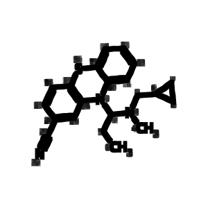 CCC(N(C)CC1CC1)N1c2ccccc2Sc2ccc(C#N)cc21